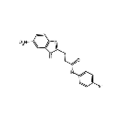 O=C(CSc1nc2ccc([N+](=O)[O-])cc2[nH]1)Nc1ccc(Br)cc1